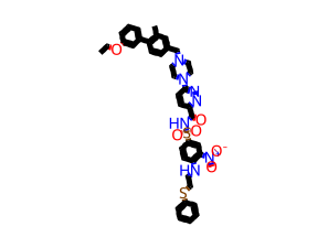 CCOc1cccc(-c2ccc(CN3CCN(c4ccc(C(=O)NS(=O)(=O)c5ccc(NCCSc6ccccc6)c([N+](=O)[O-])c5)nn4)CC3)cc2C)c1